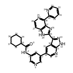 O=C(Nc1cncc(-c2cnc3[nH]nc(-c4nc5c(-c6ccccn6)nccc5[nH]4)c3c2)c1)C1CCCCC1